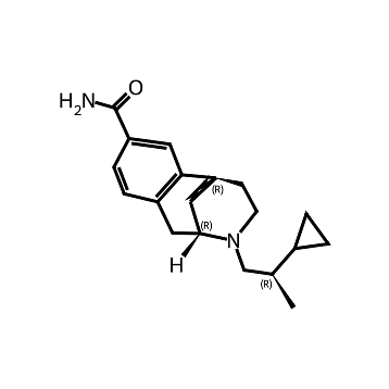 C[C@@H](CN1CC[C@]23CCCCC2[C@H]1Cc1ccc(C(N)=O)cc13)C1CC1